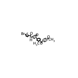 CC(=O)N1CCN(C(=O)c2ccc(N3CC(NC(=O)c4ccc(Br)s4)CC3=O)cc2C)CC1